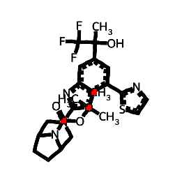 CC(C)(C)OC(=O)N1C2CCC1CN(c1nc3cc(C(C)(O)C(F)(F)F)cc(-c4nccs4)c3o1)C2